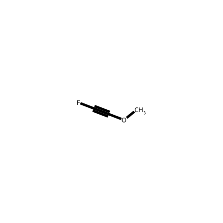 COC#CF